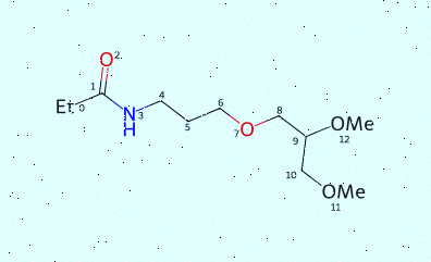 CCC(=O)NCCCOCC(COC)OC